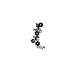 Cn1cc(C(=O)Nc2ccc(C(F)C(=O)C(Oc3ccc(C(=O)O)cc3)N3CCCC3)cc2Cl)c2ccccc21